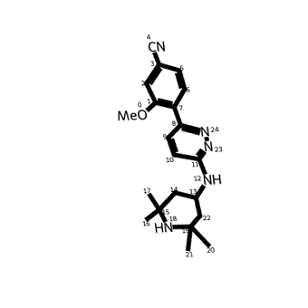 COc1cc(C#N)ccc1-c1ccc(NC2CC(C)(C)NC(C)(C)C2)nn1